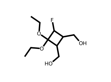 CCOC1(OCC)C(F)C(CO)C1CO